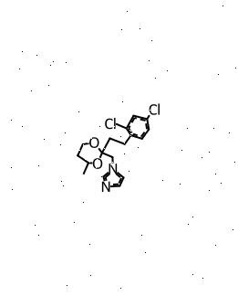 CC1CCOC(CCc2ccc(Cl)cc2Cl)(Cn2ccnc2)O1